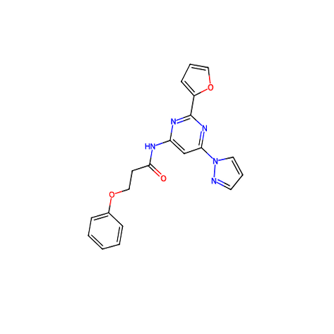 O=C(CCOc1ccccc1)Nc1cc(-n2cccn2)nc(-c2ccco2)n1